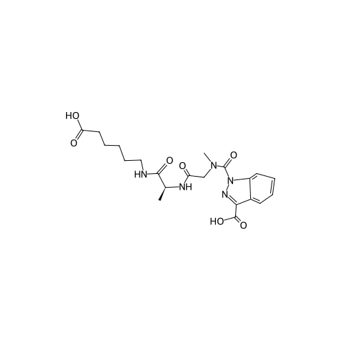 C[C@H](NC(=O)CN(C)C(=O)n1nc(C(=O)O)c2ccccc21)C(=O)NCCCCCC(=O)O